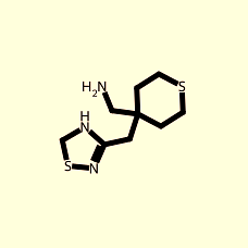 NCC1(CC2=NSCN2)CCSCC1